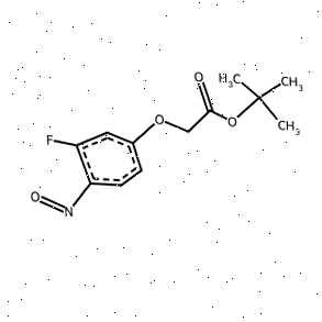 CC(C)(C)OC(=O)COc1ccc(N=O)c(F)c1